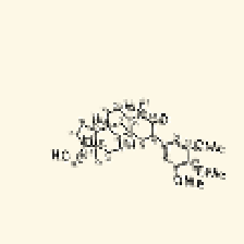 COc1cc(C2C[C@]3(C)[C@H]4CC[C@]5(C)[C@@H](C(=O)O)CC[C@H]5[C@@H]4CC[C@H]3N(C)C2=O)cc(OC)c1OC